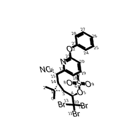 CC1(C)[C@@H]([C@@H](OS(C)(=O)=O)C(Br)(Br)Br)[C@H]1[C@H](C#N)c1cccc(Oc2ccccc2)n1